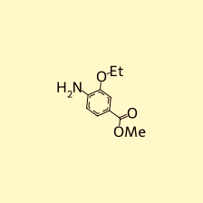 CCOc1cc(C(=O)OC)ccc1N